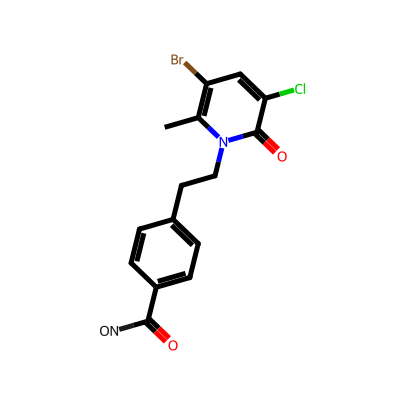 Cc1c(Br)cc(Cl)c(=O)n1CCc1ccc(C(=O)N=O)cc1